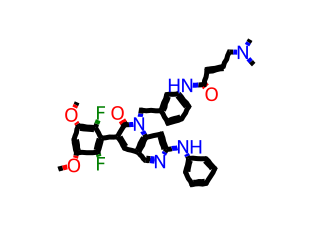 COc1cc(OC)c(F)c(-c2cc3cnc(Nc4ccccc4)cc3n(Cc3cccc(NC(=O)/C=C/CN(C)C)c3)c2=O)c1F